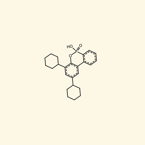 O=P1(O)Oc2c(cc(C3CCCCC3)cc2C2CCCCC2)-c2ccccc21